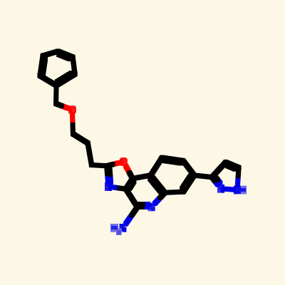 Nc1nc2cc(-c3cc[nH]n3)ccc2c2oc(CCCOCc3ccccc3)nc12